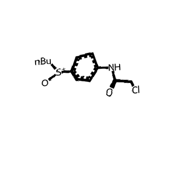 CCCC[S+]([O-])c1ccc(NC(=O)CCl)cc1